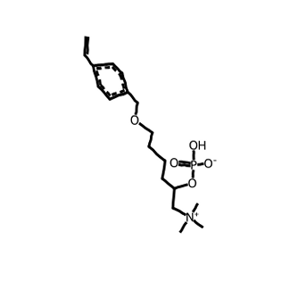 C=Cc1ccc(COCCCCC(C[N+](C)(C)C)OP(=O)([O-])O)cc1